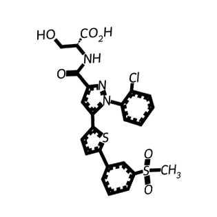 CS(=O)(=O)c1cccc(-c2ccc(-c3cc(C(=O)N[C@H](CO)C(=O)O)nn3-c3ccccc3Cl)s2)c1